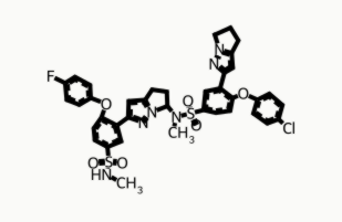 CNS(=O)(=O)c1ccc(Oc2ccc(F)cc2)c(-c2cc3n(n2)C(N(C)S(=O)(=O)c2ccc(Oc4ccc(Cl)cc4)c(-c4cc5n(n4)CCC5)c2)CC3)c1